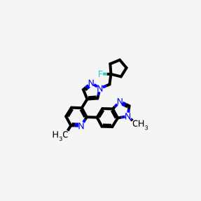 Cc1ccc(-c2cnn(CC3(F)CCCC3)c2)c(-c2ccc3c(c2)ncn3C)n1